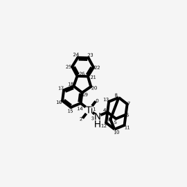 [CH3][Ti]([CH3])([NH]C12CC3CC(CC(C3)C1)C2)[c]1cccc2c1Cc1ccccc1-2